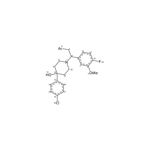 COc1cc(C(CC(C)=O)N2CCC(O)(c3ccc(Cl)cc3)CC2)ccc1F